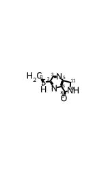 C=[SH]c1cnc2c(n1)C(=O)NC2